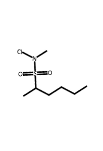 CCCCC(C)S(=O)(=O)N(C)Cl